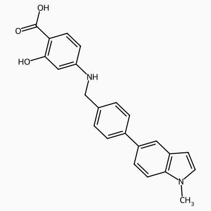 Cn1ccc2cc(-c3ccc(CNc4ccc(C(=O)O)c(O)c4)cc3)ccc21